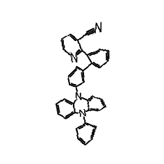 N#Cc1cccnc1-c1ccccc1-c1cccc(N2c3ccccc3N(c3ccccc3)c3ccccc32)c1